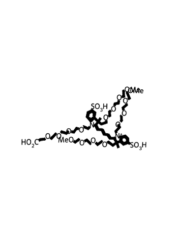 COCCOCCOCCOCC[N+]1=C(/C=C/C=C/C=C2/N(CCOCCOCCOCCOCCC(=O)O)c3ccc(S(=O)(=O)O)cc3C2(C)CCOCCOCCOCCOC)C(C)(CCOCCOCCOCCOC)c2cc(S(=O)(=O)O)ccc21